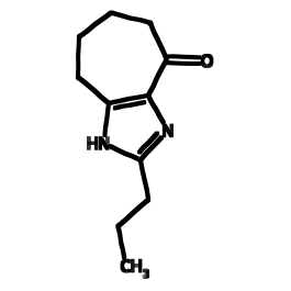 CCCc1nc2c([nH]1)CCCCC2=O